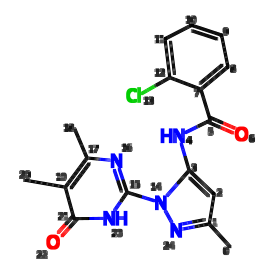 Cc1cc(NC(=O)c2ccccc2Cl)n(-c2nc(C)c(C)c(=O)[nH]2)n1